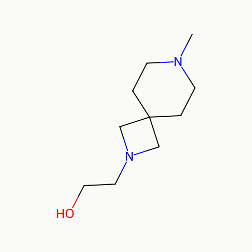 CN1CCC2(CC1)CN(CCO)C2